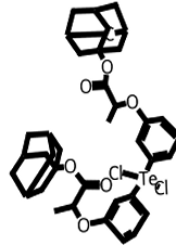 CC(Oc1cccc([Te](Cl)(Cl)c2cccc(OC(C)C(=O)OC34CC5CC(CC(C5)C3)C4)c2)c1)C(=O)OC12CC3CC(CC(C3)C1)C2